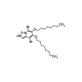 CCCCCCCCOC1=C(Br)C2=CNSN2C(Br)=C1OCCCCCCCC